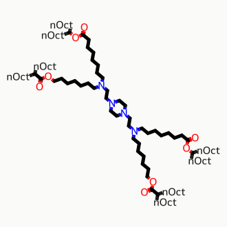 CCCCCCCCC(CCCCCCCC)OC(=O)CCCCCCCN(CCCCCCCOC(=O)C(CCCCCCCC)CCCCCCCC)CCN1CCN(CCN(CCCCCCCOC(=O)C(CCCCCCCC)CCCCCCCC)CCCCCCCC(=O)OC(CCCCCCCC)CCCCCCCC)CC1